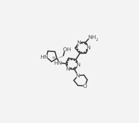 Nc1ncc(-c2cc(N[C@]3(CO)CCNC3)nc(N3CCOCC3)n2)cn1